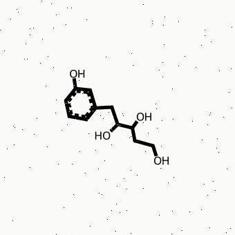 OCCC(O)C(O)Cc1cccc(O)c1